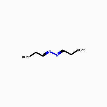 CCCCCCCCCC=NN=CCCCCCCCCC